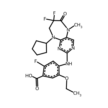 CCOc1cc(C(=O)O)c(F)cc1Nc1ncc2c(n1)N(C1CCCC1)CC(F)(F)C(=O)N2C